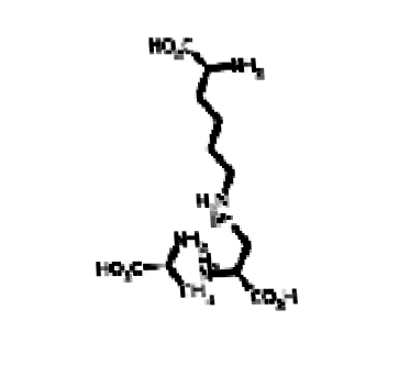 CC(C)C[C@H](N)C(=O)O.C[C@H](N)C(=O)O.NCCCC[C@H](N)C(=O)O